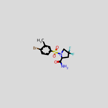 Cc1cc(S(=O)(=O)N2CC(F)(F)CC2C(N)=O)ccc1Br